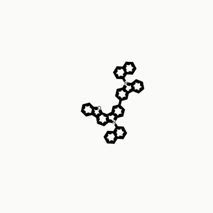 c1ccc2c(-n3c4ccccc4c4cc(-c5ccc6c(c5)c5c7oc8ccccc8c7ccc5n6-c5cccc6ccccc56)ccc43)cccc2c1